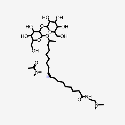 CC(=O)N(C)C.CC(CCCCCC/C=C\CCCCCCCC(=O)NCCN(C)C)OC1OC(CO)C(O)C(O)C1OC1OC(CO)C(O)C(O)C1O